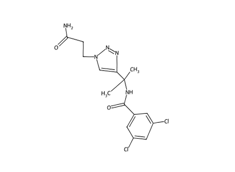 CC(C)(NC(=O)c1cc(Cl)cc(Cl)c1)c1cn(CCC(N)=O)nn1